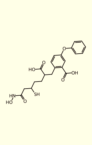 O=C(CC(S)CCC(Cc1ccc(Oc2ccccc2)cc1C(=O)O)C(=O)O)NO